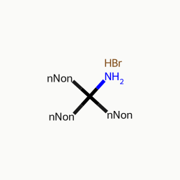 Br.CCCCCCCCCC(N)(CCCCCCCCC)CCCCCCCCC